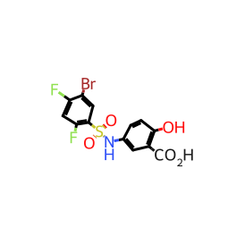 O=C(O)c1cc(NS(=O)(=O)c2cc(Br)c(F)cc2F)ccc1O